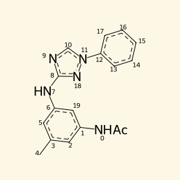 CC(=O)Nc1cc(C)cc(Nc2ncn(-c3ccccc3)n2)c1